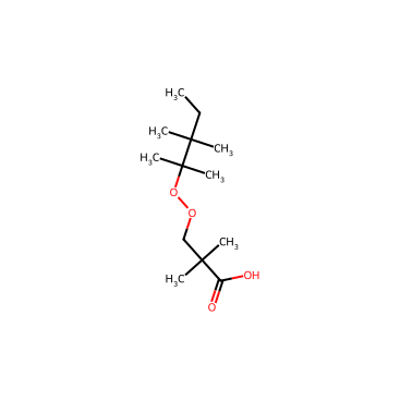 CCC(C)(C)C(C)(C)OOCC(C)(C)C(=O)O